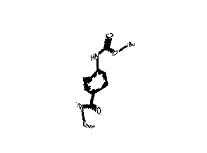 CNNC(=O)c1ccc(NC(=O)OC(C)(C)C)cc1